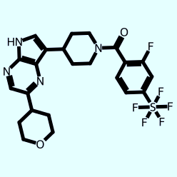 O=C(c1ccc(S(F)(F)(F)(F)F)cc1F)N1CCC(c2c[nH]c3ncc(C4CCOCC4)nc23)CC1